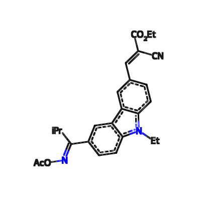 CCOC(=O)C(C#N)=Cc1ccc2c(c1)c1cc(C(=NOC(C)=O)C(C)C)ccc1n2CC